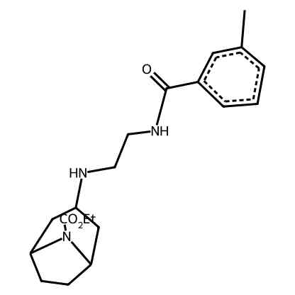 CCOC(=O)N1C2CCC1CC(NCCNC(=O)c1cccc(C)c1)C2